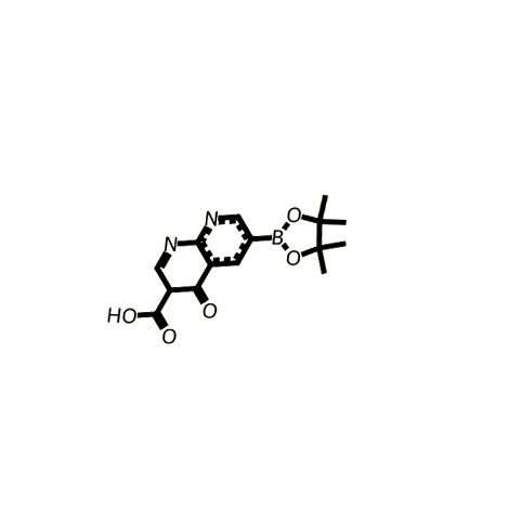 CC1(C)OB(c2cnc3c(c2)C(=O)C(C(=O)O)C=N3)OC1(C)C